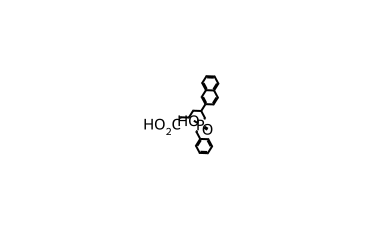 O=C(O)CCCC(CP(=O)(O)Cc1ccccc1)c1ccc2ccccc2c1